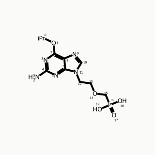 CC(C)Oc1nc(N)nc2c1ncn2CCOCP(=O)(O)O